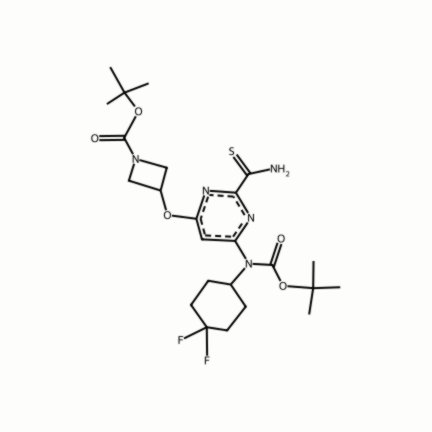 CC(C)(C)OC(=O)N1CC(Oc2cc(N(C(=O)OC(C)(C)C)C3CCC(F)(F)CC3)nc(C(N)=S)n2)C1